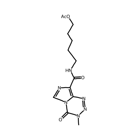 CC(=O)OCCCCCNC(=O)c1ncn2c(=O)n(C)nnc12